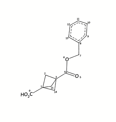 O=C(O)C12CC(C(=O)OCc3ccccc3)(C1)C2